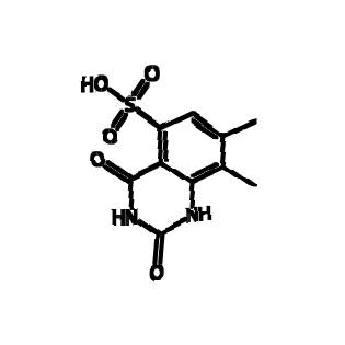 Cc1cc(S(=O)(=O)O)c2c(=O)[nH]c(=O)[nH]c2c1C